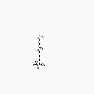 CCCCCCNC(=O)CCCCCC1NC(=O)NC1C